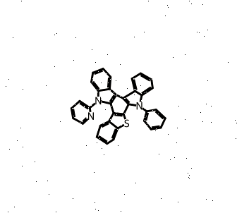 c1ccc(-n2c3ccccc3c3c4c5ccccc5n(-c5ccccn5)c4c4c5ccccc5sc4c32)cc1